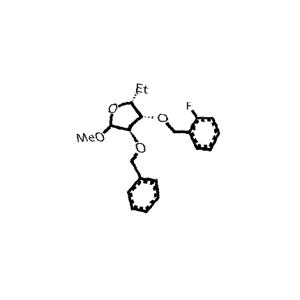 CC[C@H]1OC(OC)[C@H](OCc2ccccc2)[C@H]1OCc1ccccc1F